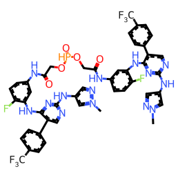 Cn1cc(Nc2ncc(-c3ccc(C(F)(F)F)cc3)c(Nc3cc(NC(=O)CO[PH](=O)OCC(=O)Nc4ccc(F)c(Nc5nc(Nc6cnn(C)c6)ncc5-c5ccc(C(F)(F)F)cc5)c4)ccc3F)n2)cn1